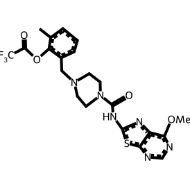 COc1ncnc2sc(NC(=O)N3CCN(Cc4cccc(C)c4OC(=O)C(F)(F)F)CC3)nc12